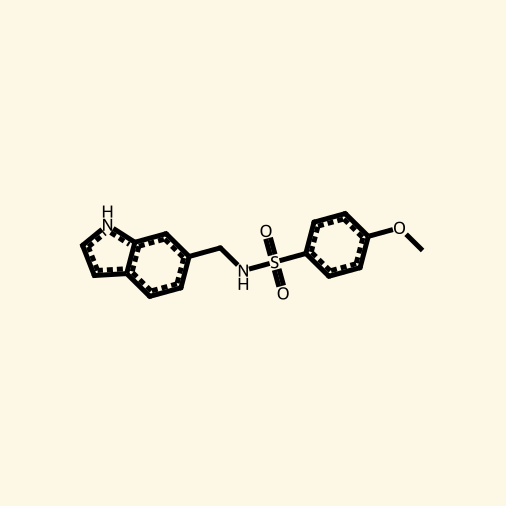 COc1ccc(S(=O)(=O)NCc2ccc3cc[nH]c3c2)cc1